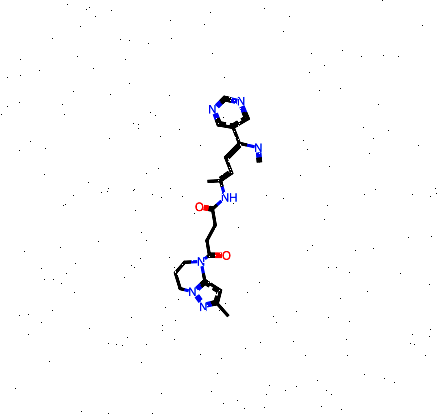 C=N/C(=C\C=C(/C)NC(=O)CCC(=O)N1CCCn2nc(C)cc21)c1cncnc1